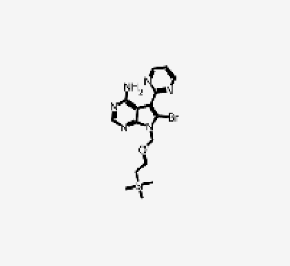 C[Si](C)(C)CCOCn1c(Br)c(-c2ncccn2)c2c(N)ncnc21